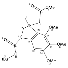 COC(=O)CC1(C)CN(C(=O)OC(C)(C)C)c2cc(OC)c(OC)c(OC)c21